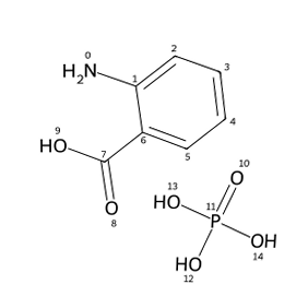 Nc1ccccc1C(=O)O.O=P(O)(O)O